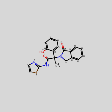 CC(C(=O)Nc1nccs1)(c1ccccc1O)N1Cc2ccccc2C1=O